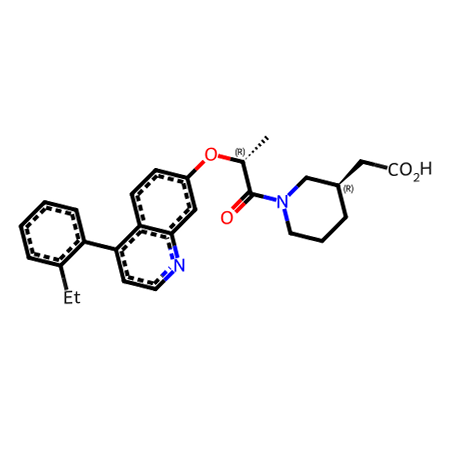 CCc1ccccc1-c1ccnc2cc(O[C@H](C)C(=O)N3CCC[C@H](CC(=O)O)C3)ccc12